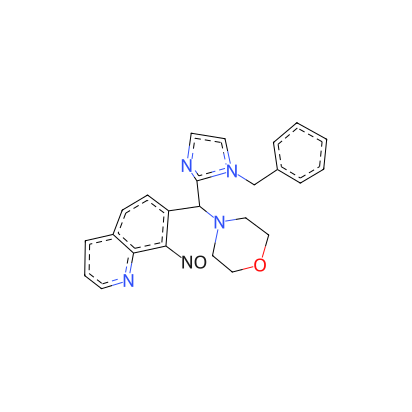 O=Nc1c(C(c2nccn2Cc2ccccc2)N2CCOCC2)ccc2cccnc12